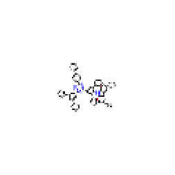 N#Cc1ccc2c(c1)c1cc(C#N)ccc1n2-c1c(-c2ccccc2)cc(-c2nc(-c3ccc(-c4ccccc4)cc3)nc(-c3cc(-c4ccccc4)cc(-c4ccccc4)c3)n2)cc1-c1ccccc1